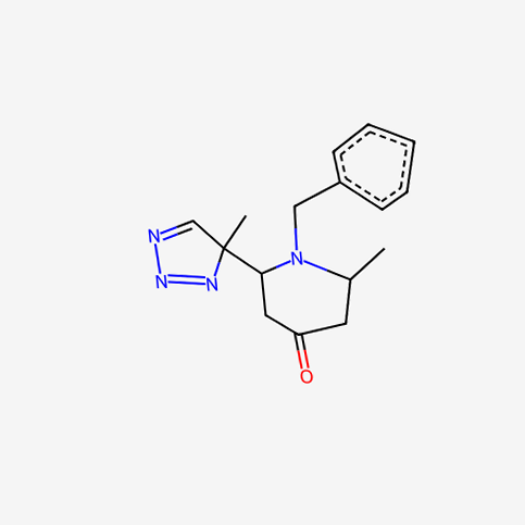 CC1CC(=O)CC(C2(C)C=NN=N2)N1Cc1ccccc1